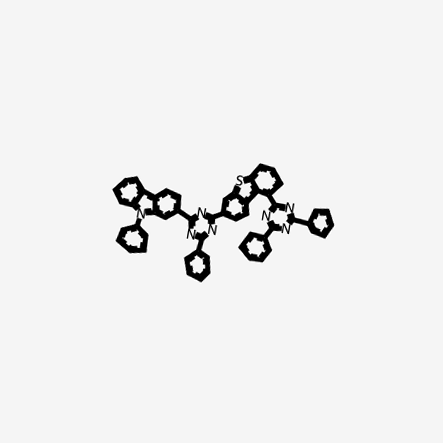 c1ccc(-c2nc(-c3ccc4c(c3)sc3cccc(-c5nc(-c6ccccc6)nc(-c6ccccc6)n5)c34)nc(-c3ccc4c5ccccc5n(-c5ccccc5)c4c3)n2)cc1